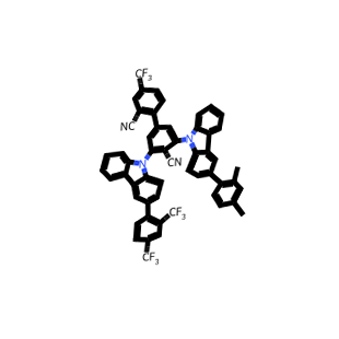 Cc1ccc(-c2ccc3c(c2)c2ccccc2n3-c2cc(-c3ccc(C(F)(F)F)cc3C#N)cc(-n3c4ccccc4c4cc(-c5ccc(C(F)(F)F)cc5C(F)(F)F)ccc43)c2C#N)c(C)c1